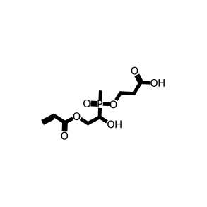 C=CC(=O)OCC(O)P(C)(=O)OCCC(=O)O